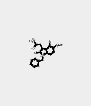 COc1ccc2c(c1Br)c(CC(N)=O)c(Br)n2Cc1ccccc1